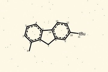 Cc1cccc2c1Cc1[c]c(C(C)(C)C)ccc1-2